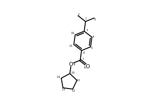 CC(C)c1ccc(C(=O)OC2CCCC2)cc1